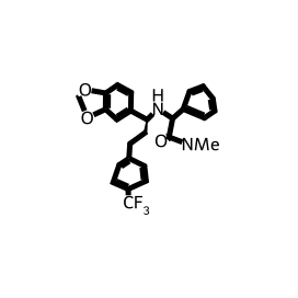 CNC(=O)C(N[C@@H](CCc1ccc(C(F)(F)F)cc1)c1ccc2c(c1)OCO2)c1ccccc1